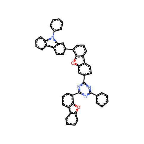 c1ccc(-c2nc(-c3ccc4c(c3)oc3c(-c5ccc6c7ccccc7n(-c7ccccc7)c6c5)cccc34)nc(-c3cccc4c3oc3ccccc34)n2)cc1